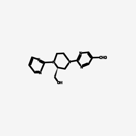 O=Cc1cnc(N2CCN(c3ncccn3)[C@@H](CO)C2)nc1